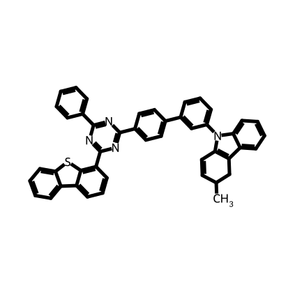 CC1C=Cc2c(c3ccccc3n2-c2cccc(-c3ccc(-c4nc(-c5ccccc5)nc(-c5cccc6c5sc5ccccc56)n4)cc3)c2)C1